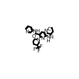 O=C(Nc1cccnc1)c1cc2c(nc1N1CCCC(C(F)(F)F)C1)N[C@H]1CCCN2C1